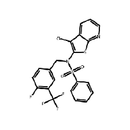 O=S(=O)(c1ccccc1)N(Cc1ccc(F)c(C(F)(F)F)c1)c1sc2ncccc2c1Cl